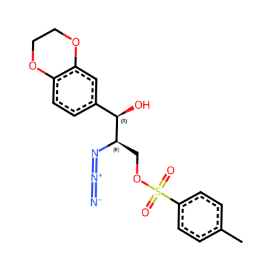 Cc1ccc(S(=O)(=O)OC[C@@H](N=[N+]=[N-])[C@H](O)c2ccc3c(c2)OCCO3)cc1